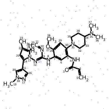 C=CC(=O)Nc1cc(N/C(N=C)=N/n2c(-c3cnn(C)c3)cc(C)c2C)c(OC)cc1N1CCC(N(C)C)CC1